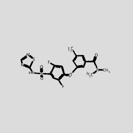 CN(C)C(=O)c1cc(Oc2cc(F)c(S(=O)(=O)Nc3ncns3)cc2F)cc(C(F)(F)F)c1